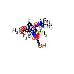 C[C@@H]1c2c(C(F)(F)F)nn(CC(=O)N[C@@H](Cc3cc(F)cc(F)c3)c3nc(CCC(C)(C)S(C)(=O)=O)ccc3-c3ccc(Cl)c4c(N(C(=O)OCCCCCO)S(C)(=O)=O)nn(CC(F)(F)F)c34)c2C(F)(F)[C@@H]1C